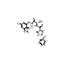 Cc1cc(Cl)cc(CNC(=O)[C@H](C)NC(=O)[C@H]2C[C@H](Cc3ccccc3)CN2)c1O